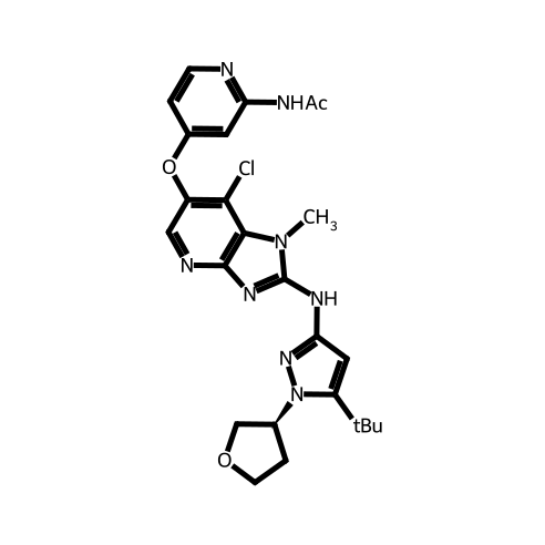 CC(=O)Nc1cc(Oc2cnc3nc(Nc4cc(C(C)(C)C)n([C@H]5CCOC5)n4)n(C)c3c2Cl)ccn1